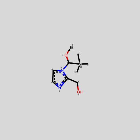 CCOC(n1ccnc1CO)[Si](C)(C)C